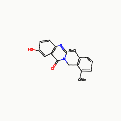 COc1cccc(OC)c1Cn1cnc2ccc(O)cc2c1=O